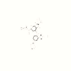 CS(=O)(=O)c1cc([C@H]2CCC(F)(F)CO2)ccc1Nc1cc(NC(=O)C2CC2)nc2[nH]c(C(F)F)nc12